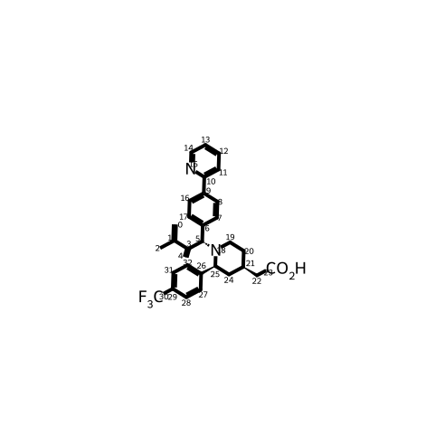 C=C(C)C(=C)[C@H](c1ccc(-c2ccccn2)cc1)N1CC[C@@H](CC(=O)O)C[C@H]1c1ccc(C(F)(F)F)cc1